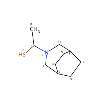 CC(S)N1CC2CCC(CC2)C1